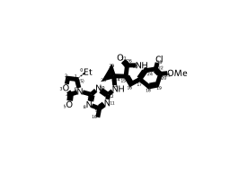 CC[C@H]1COC(=O)N1c1nc(C)nc(NC2(c3cc4ccc(OC)c(Cl)c4[nH]c3=O)CC2)n1